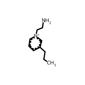 CCCc1ccc[n+](CCN)c1